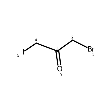 O=C(CBr)CI